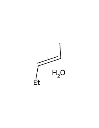 CC=CCC.O